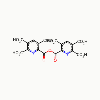 O=C(O)c1cc(C(=O)O)c(C(=O)OC(=O)c2nc(C(=O)O)c(C(=O)O)cc2C(=O)O)nc1C(=O)O